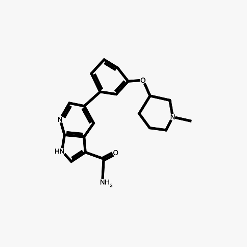 CN1CCCC(Oc2cccc(-c3cnc4[nH]cc(C(N)=O)c4c3)c2)C1